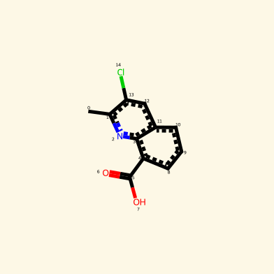 Cc1nc2c(C(=O)O)cccc2cc1Cl